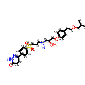 CC(C)COCCc1ccc(OCC(O)CNCCCS(=O)(=O)c2ccc(C3=NNC(=O)CC3)cc2)cc1